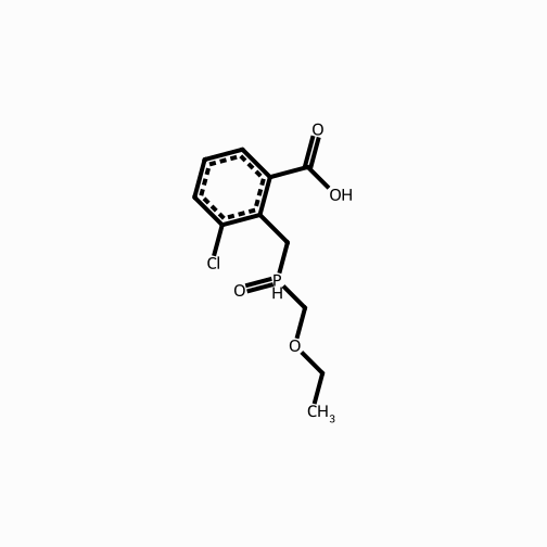 CCOC[PH](=O)Cc1c(Cl)cccc1C(=O)O